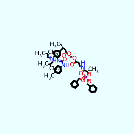 CC[C@@H](CC(=O)OCOC(=O)CCNC(=O)[C@H](C)OP(=O)(OCc1ccccc1)OCc1ccccc1)c1ccc(N(CC(C)C)CC(C)C)c(NC(=O)Nc2ccc(C)cc2)c1